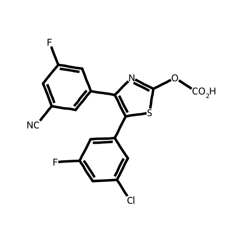 N#Cc1cc(F)cc(-c2nc(OC(=O)O)sc2-c2cc(F)cc(Cl)c2)c1